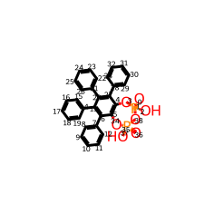 O=P1(O)Oc2c(c(-c3ccccc3)c(-c3ccccc3)c(-c3ccccc3)c2-c2ccccc2)OP(=O)(O)O1